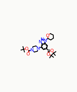 CC(C)(C)OC(=O)N1CCN(c2cc(B3OC(C)(C)C(C)(C)O3)cc3c2nnn3C2CCCCO2)CC1